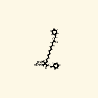 CCCCCCCCCCCC(CCCCCCCCCCC(=O)OCc1ccccc1)(CC(C)(C)C)C(=O)OCc1ccccc1